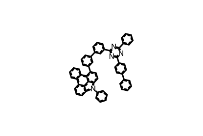 c1ccc(-c2ccc(-c3nc(-c4ccccc4)nc(-c4cccc(-c5cccc(-c6ccc7c8c6c6ccccc6c6cccc(c68)n7-c6ccccc6)c5)c4)n3)cc2)cc1